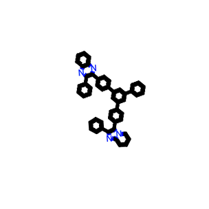 c1ccc(-c2cc(-c3ccc(-c4nc5ccccc5nc4-c4ccccc4)cc3)cc(-c3ccc(-c4c(-c5ccccc5)nc5ccccn45)cc3)c2)cc1